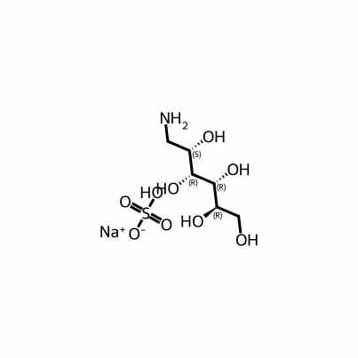 NC[C@H](O)[C@@H](O)[C@H](O)[C@H](O)CO.O=S(=O)([O-])O.[Na+]